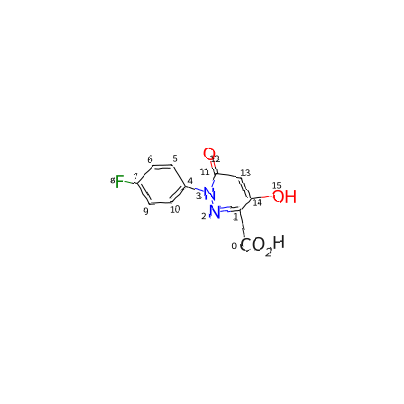 O=C(O)c1nn(-c2ccc(F)cc2)c(=O)cc1O